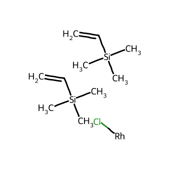 C=C[Si](C)(C)C.C=C[Si](C)(C)C.[Cl][Rh]